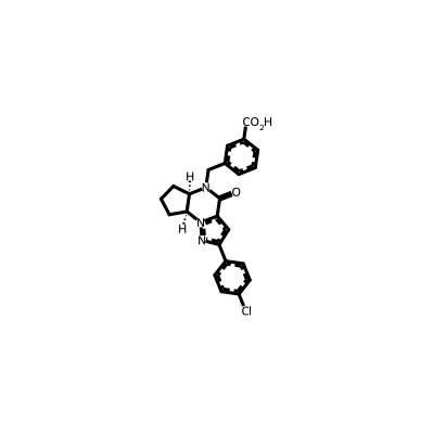 O=C(O)c1cccc(CN2C(=O)c3cc(-c4ccc(Cl)cc4)nn3[C@H]3CCC[C@H]32)c1